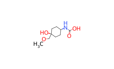 COC[C@]1(O)CC[C@@H](NC(=O)O)CC1